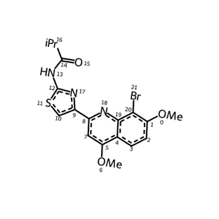 COc1ccc2c(OC)cc(-c3csc(NC(=O)C(C)C)n3)nc2c1Br